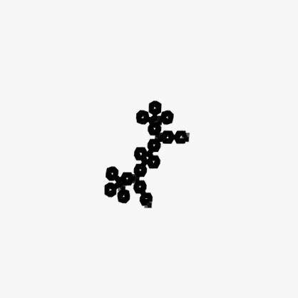 c1ccc(-c2c(-c3ccccc3)n(-c3ccccc3)c3cc(N(c4ccc(-c5ccncc5)cc4)c4ccc(-c5c6ccccc6c(-c6ccc(N(c7ccc(-c8ccncc8)cc7)c7ccc8c(-c9ccccc9)c(-c9ccccc9)n(-c9ccccc9)c8c7)cc6)c6ccccc56)cc4)ccc23)cc1